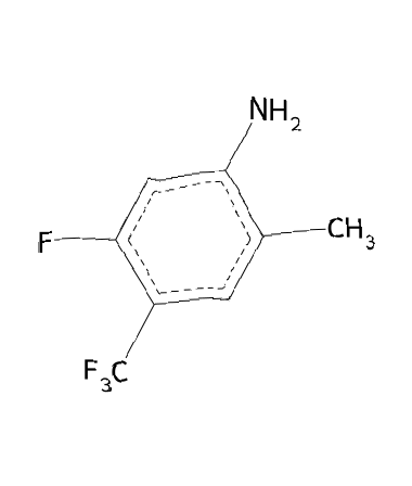 Cc1cc(C(F)(F)F)c(F)cc1N